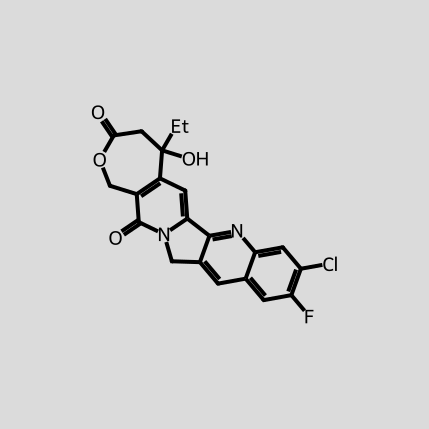 CCC1(O)CC(=O)OCc2c1cc1n(c2=O)Cc2cc3cc(F)c(Cl)cc3nc2-1